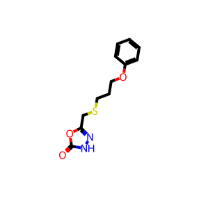 O=c1[nH]nc(CSCCCOc2ccccc2)o1